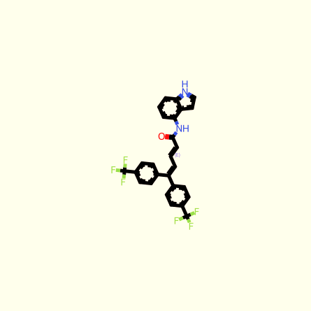 O=C(/C=C/C=C(c1ccc(C(F)(F)F)cc1)c1ccc(C(F)(F)F)cc1)Nc1cccc2[nH]ccc12